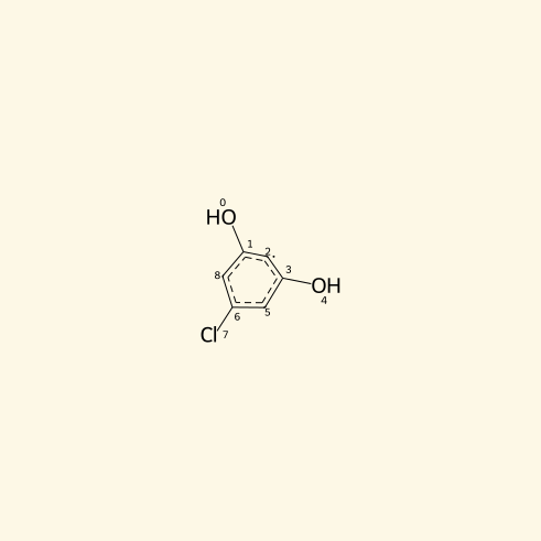 Oc1[c]c(O)cc(Cl)c1